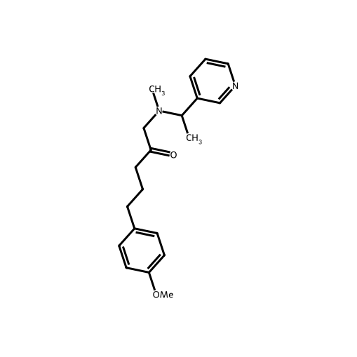 COc1ccc(CCCC(=O)CN(C)C(C)c2cccnc2)cc1